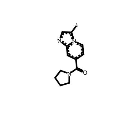 O=C(c1ccn2c(I)cnc2c1)N1CCCC1